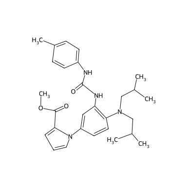 COC(=O)c1cccn1-c1ccc(N(CC(C)C)CC(C)C)c(NC(=O)Nc2ccc(C)cc2)c1